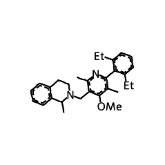 CCc1cccc(CC)c1-c1nc(C)c(CN2CCc3ccccc3C2C)c(OC)c1C